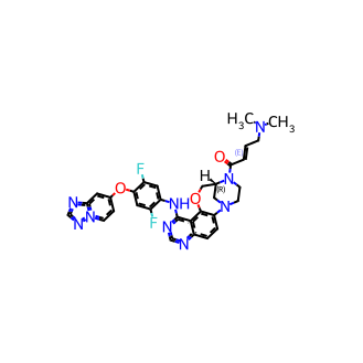 CN(C)C/C=C/C(=O)N1CCN2C[C@@H]1COc1c2ccc2ncnc(Nc3cc(F)c(Oc4ccn5ncnc5c4)cc3F)c12